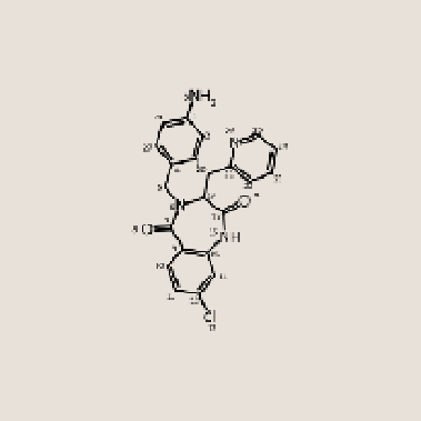 Nc1ccc(CN2C(=O)c3ccc(Cl)cc3NC(=O)C2Cc2ccccn2)cc1